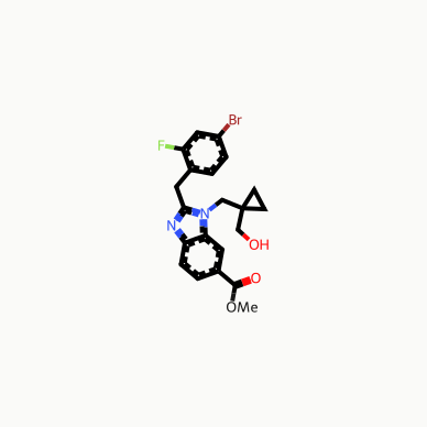 COC(=O)c1ccc2nc(Cc3ccc(Br)cc3F)n(CC3(CO)CC3)c2c1